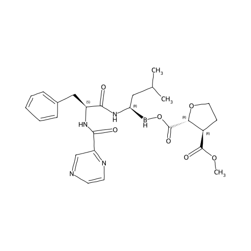 COC(=O)[C@@H]1CCO[C@H]1C(=O)OB[C@H](CC(C)C)NC(=O)[C@H](Cc1ccccc1)NC(=O)c1cnccn1